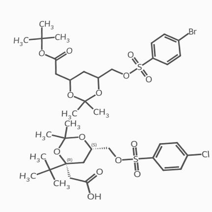 CC(C)(C)OC(=O)CC1CC(COS(=O)(=O)c2ccc(Br)cc2)OC(C)(C)O1.CC1(C)O[C@H](COS(=O)(=O)c2ccc(Cl)cc2)C[C@@](CC(=O)O)(C(C)(C)C)O1